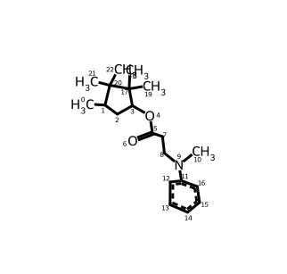 CC1CC(OC(=O)CCN(C)c2ccccc2)C(C)(C)C1(C)C